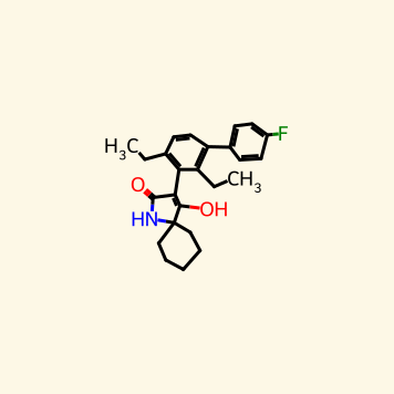 CCc1ccc(-c2ccc(F)cc2)c(CC)c1C1=C(O)C2(CCCCC2)NC1=O